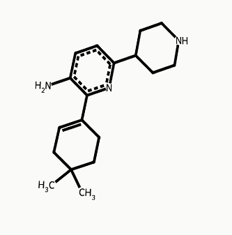 CC1(C)CC=C(c2nc(C3CCNCC3)ccc2N)CC1